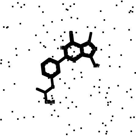 CCCc1nn(C)c2c(=O)[nH]c(-c3cccc(OC(C)C(=O)O)c3)nc12